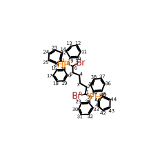 BrC(CCCCC(Br)[PH](c1ccccc1)(c1ccccc1)c1ccccc1)[PH](c1ccccc1)(c1ccccc1)c1ccccc1